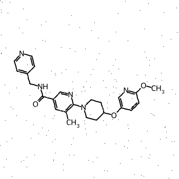 COc1ccc(OC2CCN(c3ncc(C(=O)NCc4ccncc4)cc3C)CC2)cn1